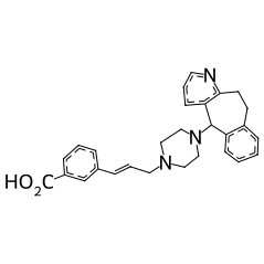 O=C(O)c1cccc(C=CCN2CCN(C3c4ccccc4CCc4ncccc43)CC2)c1